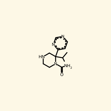 CC(C)C1(c2ccncn2)CNCCN1C(N)=O